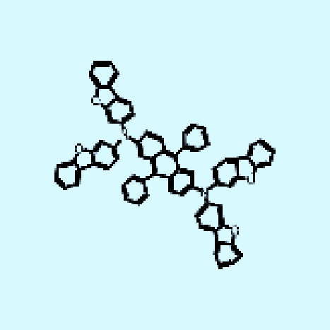 c1ccc(-c2c3ccc(N(c4ccc5c(c4)oc4ccccc45)c4ccc5c(c4)oc4ccccc45)cc3c(-c3ccccc3)c3ccc(N(c4ccc5c(c4)oc4ccccc45)c4ccc5c(c4)oc4ccccc45)cc23)cc1